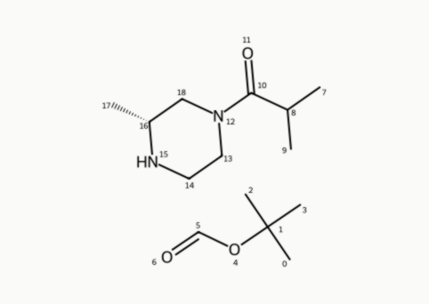 CC(C)(C)OC=O.CC(C)C(=O)N1CCN[C@H](C)C1